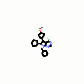 COc1ccc(-c2c(-c3ccccc3)n(Cc3ccccc3)c3ncnc(Cl)c23)cc1